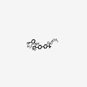 CCOC(=O)C1(c2ccc(-c3ccc(-c4onc(C)c4Nc4cccc(C#N)n4)cc3)cc2)CC1